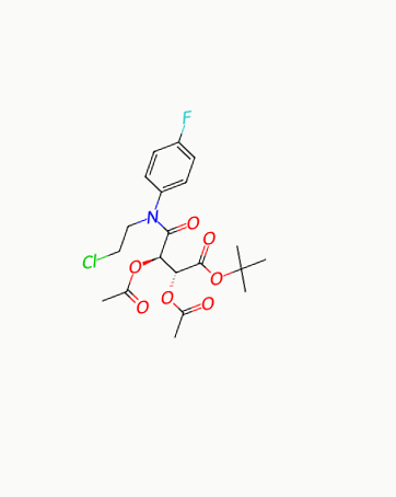 CC(=O)O[C@@H](C(=O)OC(C)(C)C)[C@@H](OC(C)=O)C(=O)N(CCCl)c1ccc(F)cc1